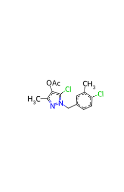 CC(=O)Oc1c(C)nn(Cc2ccc(Cl)c(C)c2)c1Cl